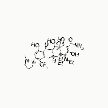 CCN(CC)[C@@H]1C(O)=C(C(N)=O)C(=O)[C@@]2(O)C(O)=C3C(=O)c4c(O)cc([C@@H]5CCCN5C)c(C(F)(F)F)c4C[C@H]3C[C@@H]12